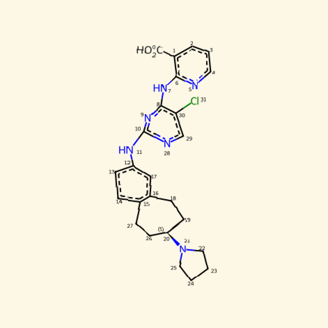 O=C(O)c1cccnc1Nc1nc(Nc2ccc3c(c2)CC[C@@H](N2CCCC2)CC3)ncc1Cl